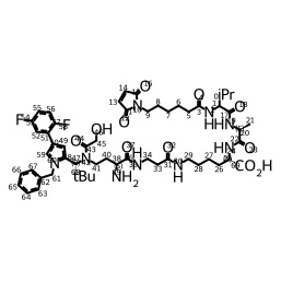 CC(C)C(NC(=O)CCCCCN1C(=O)C=CC1=O)C(=O)N[C@@H](C)C(=O)N[C@@H](CCCCNC(=O)CCNC(=O)[C@@H](N)CCN(C(=O)CO)[C@@H](c1cc(-c2cc(F)ccc2F)cn1Cc1ccccc1)C(C)(C)C)C(=O)O